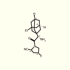 CCC12C[C@H]3C[C@@H](C1)CC([C@H](N)C(=O)N1C[C@@H](F)C[C@H]1C#N)(C3)C2